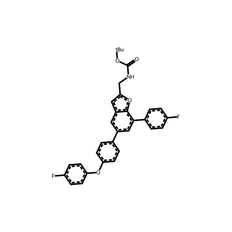 CC(C)(C)OC(=O)NCc1cc2cc(-c3ccc(Oc4ccc(F)cc4)cc3)cc(-c3ccc(F)cc3)c2o1